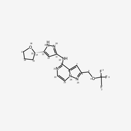 FC(F)(F)OCc1cc2c(Nc3cc([C@@H]4C[CH]CO4)[nH]n3)nccn2n1